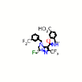 C[C@H](NC(=O)c1c(C(F)(F)F)nn2c1N(Cc1cccc(C(F)(F)F)c1)C[C@H]2CF)c1ccc(C(=O)O)cc1